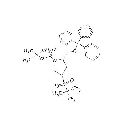 CC(C)(C)OC(=O)N1C[C@H](S(=O)(=O)C(C)(C)C)C[C@H]1COC(c1ccccc1)(c1ccccc1)c1ccccc1